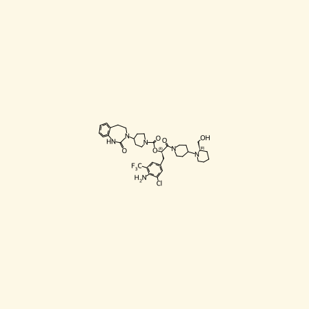 Nc1c(Cl)cc(C[C@@H](OC(=O)N2CCC(N3CCc4ccccc4NC3=O)CC2)C(=O)N2CCC(N3CCCC[C@@H]3CO)CC2)cc1C(F)(F)F